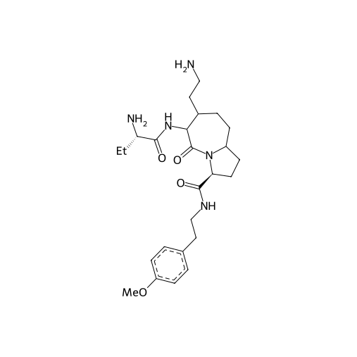 CC[C@H](N)C(=O)NC1C(=O)N2C(CCC1CCN)CC[C@H]2C(=O)NCCc1ccc(OC)cc1